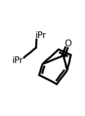 CC(C)CC(C)C.O=C1C2=CC=C1C=C2